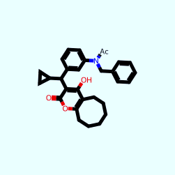 [CH2]C(=O)N(Cc1ccccc1)c1cccc(C(c2c(O)c3c(oc2=O)CCCCCC3)C2CC2)c1